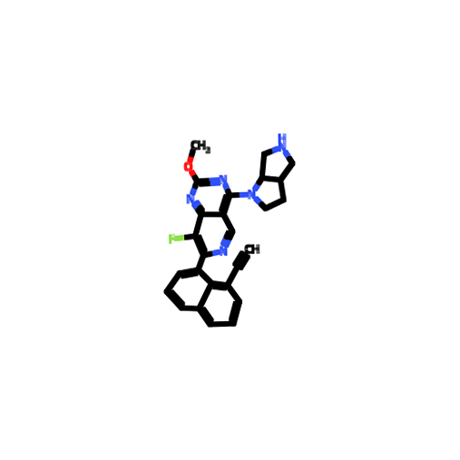 C#Cc1cccc2cccc(-c3ncc4c(N5CCC6CNCC65)nc(OC)nc4c3F)c12